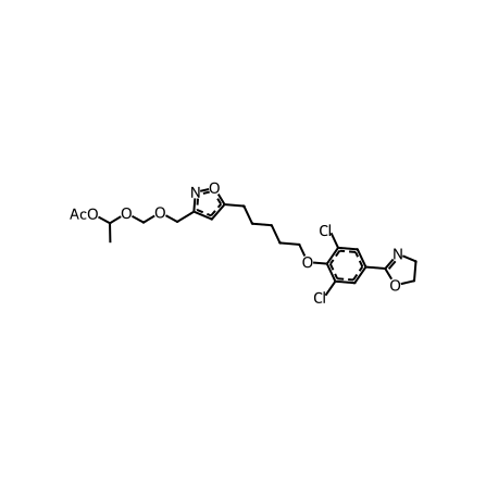 CC(=O)OC(C)OCOCc1cc(CCCCCOc2c(Cl)cc(C3=NCCO3)cc2Cl)on1